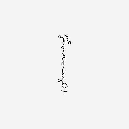 CC(C)(C)C1CCN(C(=O)CCOCCOCCOCCOCCN2C(=O)C=CC2=O)C1